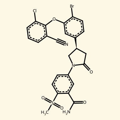 CS(=O)(=O)c1ccc(N2C[C@@H](c3ccc(Br)c(Oc4c(Cl)cccc4C#N)c3)CC2=O)cc1C(N)=O